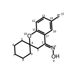 ON=C1CC2(CCCCC2)Oc2ccc(F)cc21